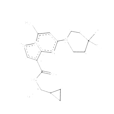 Cc1cc(N2CCC(F)(F)CC2)nc2c(C(=O)N[C@@H](C)C3CC3)cnn12